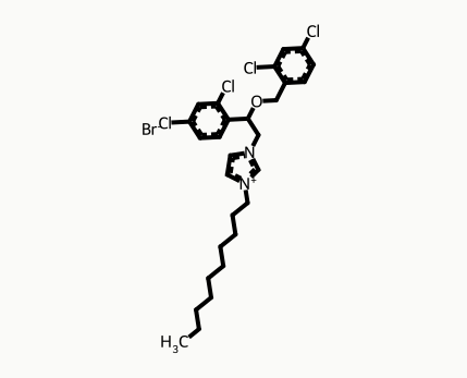 CCCCCCCCCC[n+]1ccn(CC(OCc2ccc(Cl)cc2Cl)c2ccc(Cl)cc2Cl)c1.[Br-]